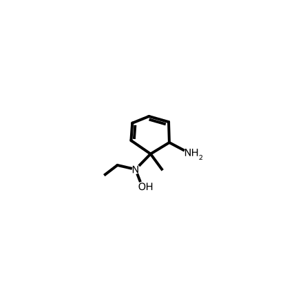 CCN(O)C1(C)C=CC=CC1N